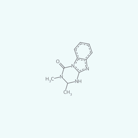 CC1Nc2nc3ccccc3n2C(=O)N1C